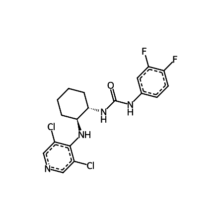 O=C(Nc1ccc(F)c(F)c1)N[C@H]1CCCC[C@@H]1Nc1c(Cl)cncc1Cl